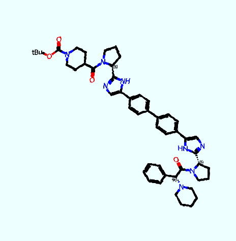 CC(C)(C)OC(=O)N1CCC(C(=O)N2CCC[C@H]2c2ncc(-c3ccc(-c4ccc(-c5cnc([C@@H]6CCCN6C(=O)[C@@H](c6ccccc6)N6CCCCC6)[nH]5)cc4)cc3)[nH]2)CC1